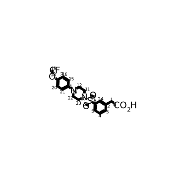 O=C(O)Cc1cccc(S(=O)(=O)N2CCN(c3ccc(OC(F)(F)F)cc3)CC2)c1